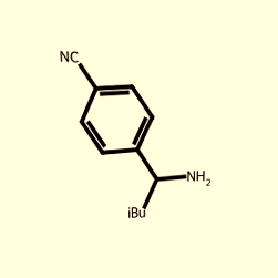 CCC(C)C(N)c1ccc(C#N)cc1